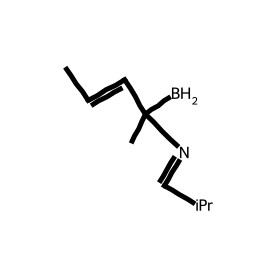 BC(C)(C=CC)/N=C/C(C)C